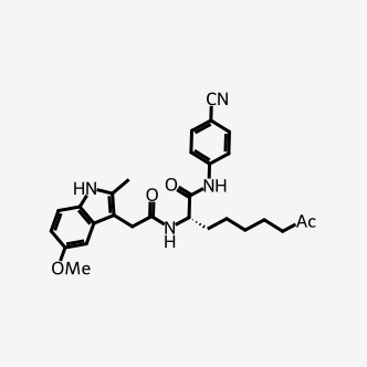 COc1ccc2[nH]c(C)c(CC(=O)N[C@@H](CCCCCC(C)=O)C(=O)Nc3ccc(C#N)cc3)c2c1